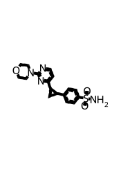 NS(=O)(=O)c1ccc(C2CC2c2ccnc(N3CCOCC3)n2)cc1